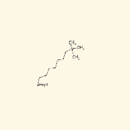 [CH2]CCCCCCCCCCCCC[Si](C)(C)C